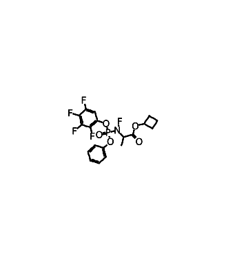 CC(C(=O)OC1CCC1)N(F)P(=O)(Oc1ccccc1)Oc1cc(F)c(F)c(F)c1F